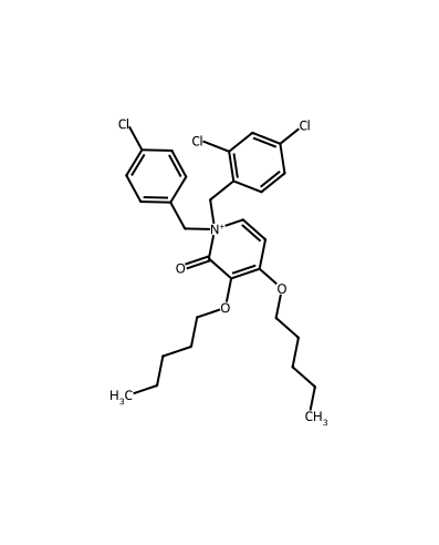 CCCCCOC1=C(OCCCCC)C(=O)[N+](Cc2ccc(Cl)cc2)(Cc2ccc(Cl)cc2Cl)C=C1